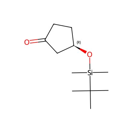 CC(C)(C)[Si](C)(C)O[C@@H]1CCC(=O)C1